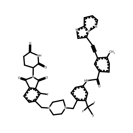 Cc1ccc(C(=O)Nc2ccc(CN3CCN(Cc4ccc5c(c4F)C(=O)N(C4CCC(=O)NC4=O)C5=O)CC3)c(C(F)(F)F)c2)cc1C#Cc1cnc2cccnn12